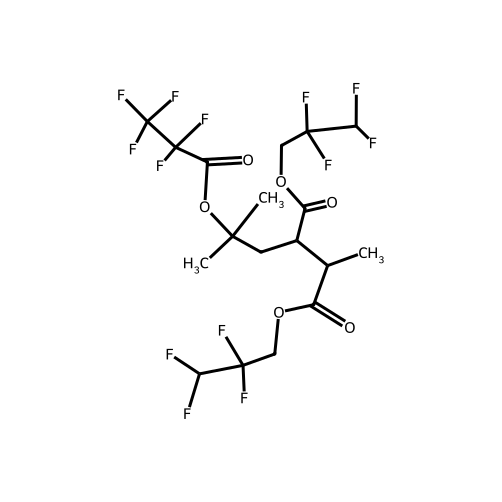 CC(C(=O)OCC(F)(F)C(F)F)C(CC(C)(C)OC(=O)C(F)(F)C(F)(F)F)C(=O)OCC(F)(F)C(F)F